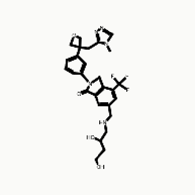 Cn1cnnc1CC1(c2cccc(N3Cc4c(cc(CNCC(O)CCO)cc4C(F)(F)F)C3=O)c2)COC1